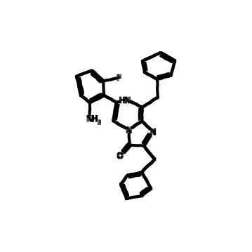 Nc1cccc(F)c1-c1cn2c(=O)c(Cc3ccccc3)nc-2c(Cc2ccccc2)[nH]1